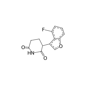 O=C1CCC(c2coc3cccc(F)c23)C(=O)N1